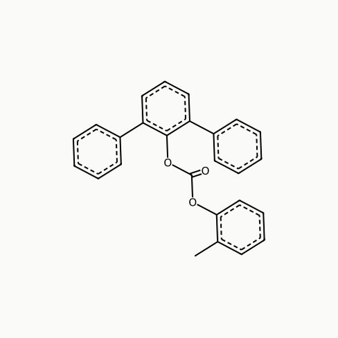 Cc1ccccc1OC(=O)Oc1c(-c2ccccc2)cccc1-c1ccccc1